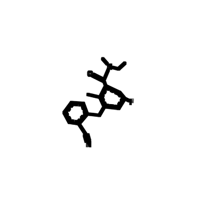 CCN(C)C(=O)c1cc(F)cc(Cc2ccccc2C#N)c1C